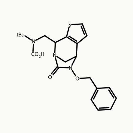 CC(C)(C)N(CC1c2sccc2C2CN1C(=O)N2OCc1ccccc1)C(=O)O